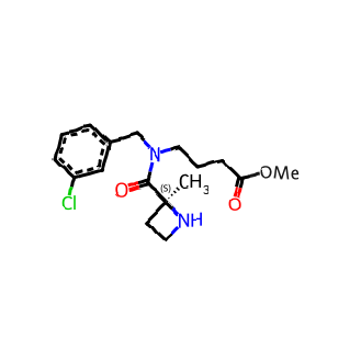 COC(=O)CCCN(Cc1cccc(Cl)c1)C(=O)[C@]1(C)CCN1